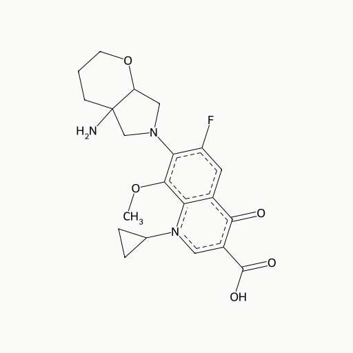 COc1c(N2CC3OCCCC3(N)C2)c(F)cc2c(=O)c(C(=O)O)cn(C3CC3)c12